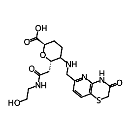 O=C(C[C@@H]1O[C@@H](C(=O)O)CCC1NCc1ccc2c(n1)NC(=O)CS2)NCCO